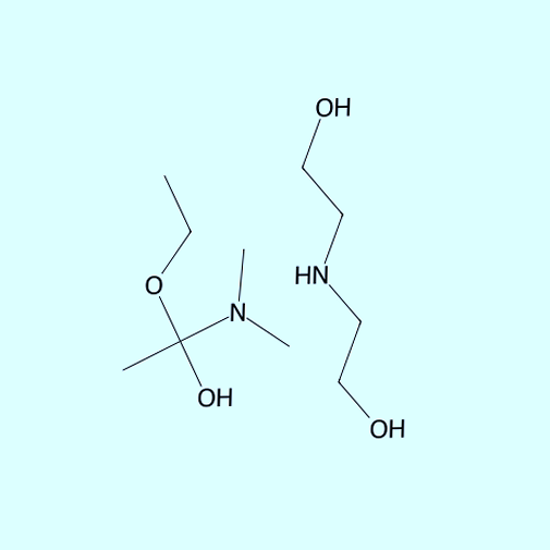 CCOC(C)(O)N(C)C.OCCNCCO